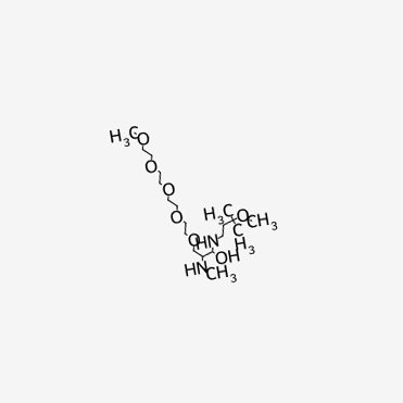 CNC(COCCOCCOCCOCCOC)C(O)NCCC(C)(C)OC